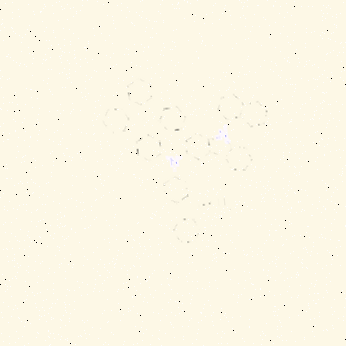 C=C1c2ccccc2-c2ccc(N(c3ccc4c(c3)C3(c5ccccc5-c5ccccc53)c3ccccc3-4)c3ccc4c(c3)c3ccccc3n4-c3cccc4ccccc34)cc21